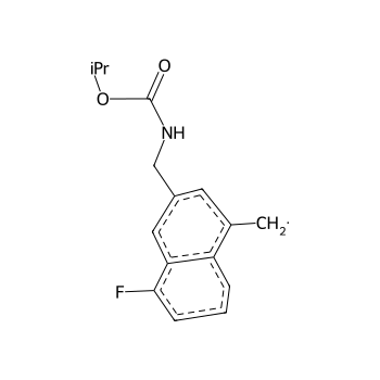 [CH2]c1cc(CNC(=O)OC(C)C)cc2c(F)cccc12